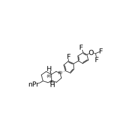 CCCC1CC[C@@H]2C[C@H](c3ccc(-c4ccc(OC(F)F)c(F)c4)c(F)c3)CC[C@@H]2C1